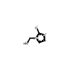 CCCCCn1ccnc1Cl